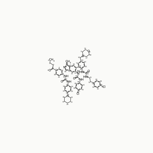 CCCC(=O)c1ccc(NC(=O)Nc2ccc(N3CCCCC3)cc2)cc1.Cn1ncc2cc(NC(=O)Nc3ccc(Cl)cc3)ccc21.O=C(NCCc1ccc(Cl)cc1)Nc1ccc(CN2CCOCC2)cc1